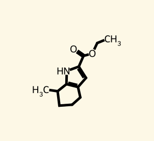 CCOC(=O)c1cc2c([nH]1)C(C)CCC2